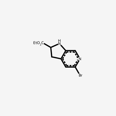 CCOC(=O)C1Cc2cc(Br)ncc2N1